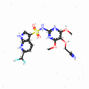 COc1nc(NS(=O)(=O)c2c[nH]c3nc(C(F)F)ccc23)nc(OC)c1OCC#N